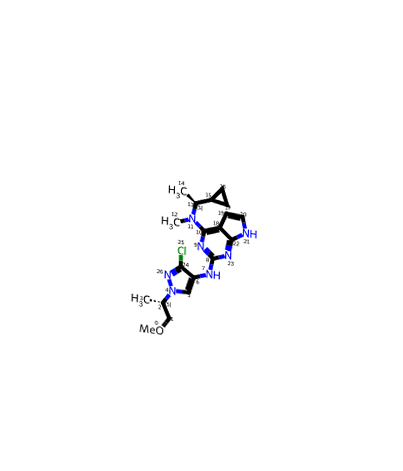 COC[C@H](C)n1cc(Nc2nc(N(C)[C@@H](C)C3CC3)c3cc[nH]c3n2)c(Cl)n1